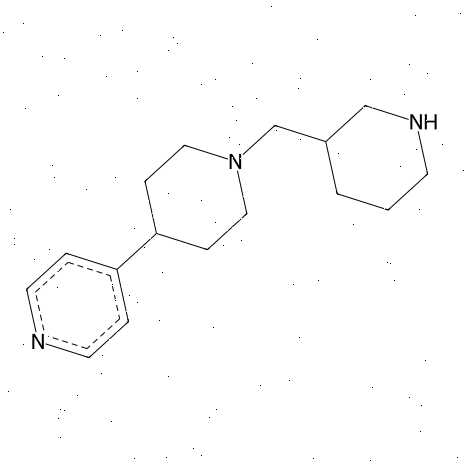 c1cc(C2CCN(CC3CCCNC3)CC2)ccn1